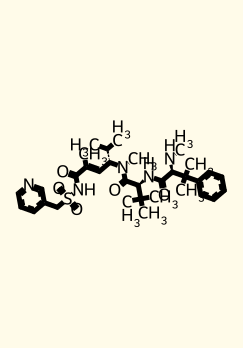 CN[C@H](C(=O)N[C@H](C(=O)N(C)[C@H](C=C(C)C(=O)NS(=O)(=O)Cc1cccnc1)C(C)C)C(C)(C)C)C(C)(C)c1ccccc1